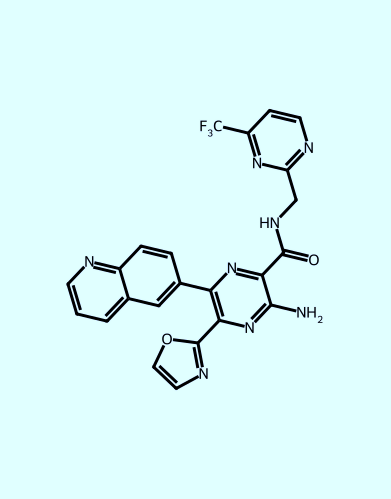 Nc1nc(-c2ncco2)c(-c2ccc3ncccc3c2)nc1C(=O)NCc1nccc(C(F)(F)F)n1